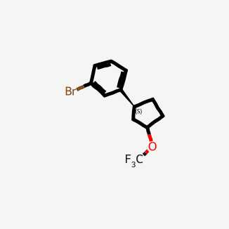 FC(F)(F)OC1CC[C@H](c2cccc(Br)c2)C1